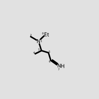 CCN(C)C(C)CC=N